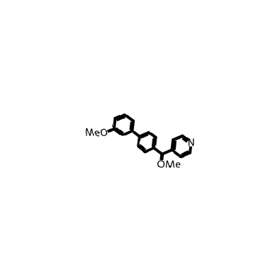 COc1cccc(-c2ccc(C(OC)c3ccncc3)cc2)c1